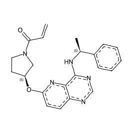 C=CC(=O)N1CC[C@H](Oc2ccc3ncnc(N[C@@H](C)c4ccccc4)c3n2)C1